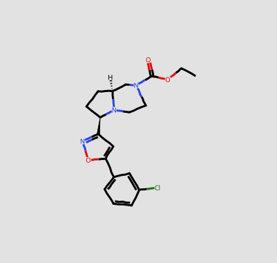 CCOC(=O)N1CCN2[C@@H](CC[C@@H]2c2cc(-c3cccc(Cl)c3)on2)C1